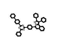 c1ccc(-c2ccc(-c3nc(-c4ccccc4)nc(-c4ccc(-c5cc6ccccc6c6c(-c7ccccc7)c(-c7ccccc7)nn56)cc4)n3)cc2)cc1